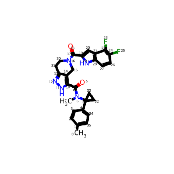 Cc1ccc(C2(N(C)C(=O)c3[nH]nc4c3CN(C(=O)c3cc5c(F)c(F)ccc5[nH]3)CC4)CC2)cc1